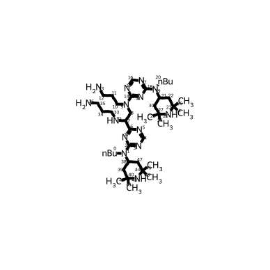 CCCCN(c1ncnc(C(CN(CCCN)c2ncnc(N(CCCC)C3CC(C)(C)NC(C)(C)C3)n2)NCCCN)n1)C1CC(C)(C)NC(C)(C)C1